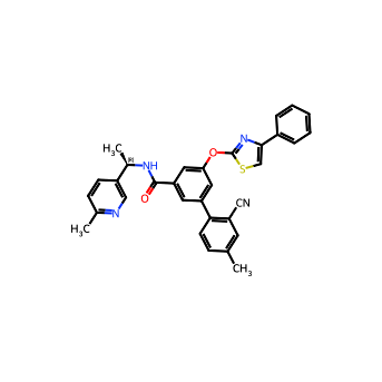 Cc1ccc(-c2cc(Oc3nc(-c4ccccc4)cs3)cc(C(=O)N[C@H](C)c3ccc(C)nc3)c2)c(C#N)c1